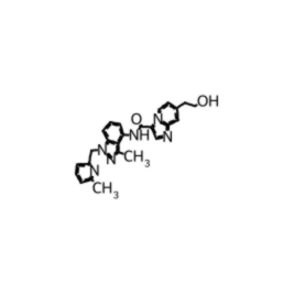 Cc1cccc(Cn2nc(C)c3c(NC(=O)c4cnc5cc(CCO)ccn45)cccc32)n1